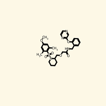 COc1cc(C)c(S(=O)(=O)N2CCCCC2COCC(=O)NCc2ccccc2Oc2cnccn2)c(C)c1